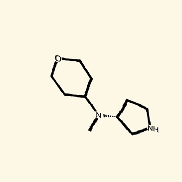 CN(C1CCOCC1)[C@@H]1CCNC1